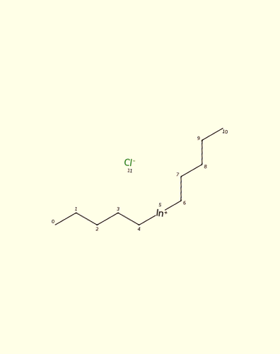 CCCC[CH2][In+][CH2]CCCC.[Cl-]